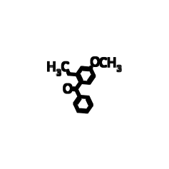 CCc1cc(OC)ccc1C(=O)c1ccccc1